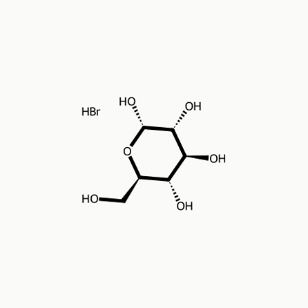 Br.OC[C@H]1O[C@H](O)[C@H](O)[C@@H](O)[C@@H]1O